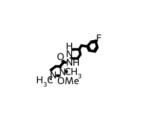 COC1N(C)CCC(C(=O)NC2CCC(Cc3cccc(F)c3)CN2)N1C